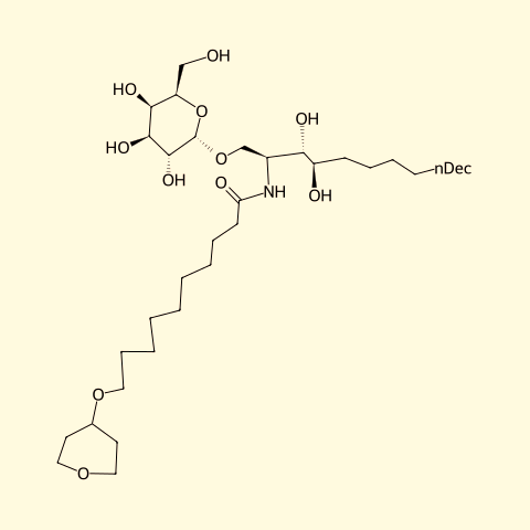 CCCCCCCCCCCCCC[C@@H](O)[C@@H](O)[C@H](CO[C@H]1O[C@H](CO)[C@H](O)[C@H](O)[C@H]1O)NC(=O)CCCCCCCCCOC1CCOCC1